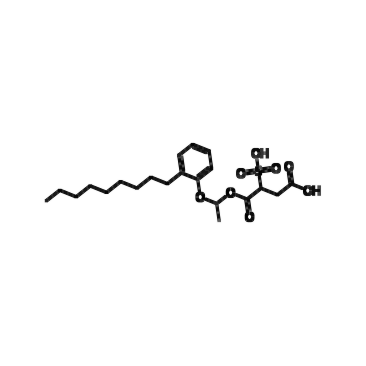 CCCCCCCCCc1ccccc1OC(C)OC(=O)C(CC(=O)O)S(=O)(=O)O